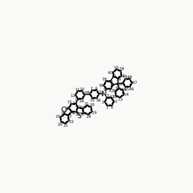 c1ccc(N(c2ccc(-c3cccc(-c4cc5oc6ccccc6c5c5sc6ccccc6c45)c3)cc2)c2ccc3c(c2)C(c2ccccc2)(c2ccccc2)c2ccccc2-3)cc1